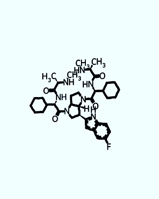 CN[C@@H](C)C(=O)N[C@H](C(=O)N1C[C@H](c2cc3cc(F)ccc3[nH]2)[C@@H]2C1CCN2C(=O)[C@@H](NC(=O)[C@H](C)NC)C1CCCCC1)C1CCCCC1